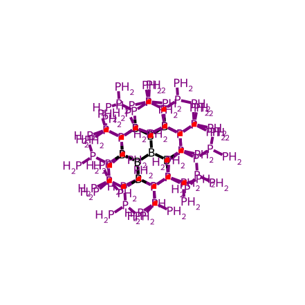 PPP(P(P)P)P(B(B(B(B(P(P(P)P)P(P)P)P(P(P)P)P(P)P)B(P(P(P)P)P(P)P)P(P(P)P)P(P)P)B(B(P(P(P)P)P(P)P)P(P(P)P)P(P)P)B(P(P(P)P)P(P)P)P(P(P)P)P(P)P)P(P(P(P)P)P(P)P)P(P(P)P)P(P)P)P(P)P